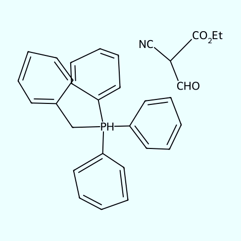 CCOC(=O)C(C#N)C=O.c1ccc(C[PH](c2ccccc2)(c2ccccc2)c2ccccc2)cc1